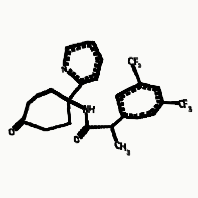 CC(C(=O)NC1(c2ccccn2)CCC(=O)CC1)c1cc(C(F)(F)F)cc(C(F)(F)F)c1